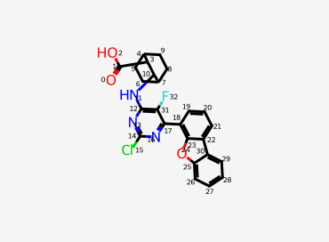 O=C(O)C1C2CCC(CC2)C1Nc1nc(Cl)nc(-c2cccc3c2oc2ccccc23)c1F